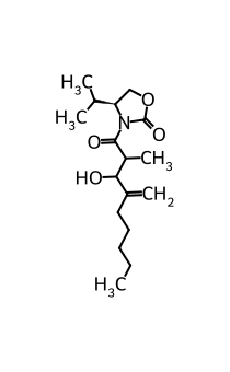 C=C(CCCCC)C(O)C(C)C(=O)N1C(=O)OC[C@@H]1C(C)C